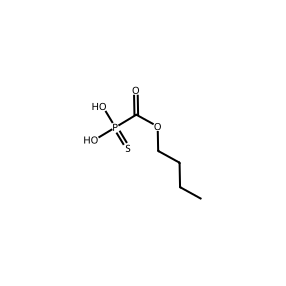 CCCCOC(=O)P(O)(O)=S